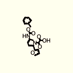 O=C(NC1=CC=C(c2ccco2)N(C(=O)C(=O)O)C1)OCc1ccccc1